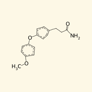 COc1ccc(Oc2ccc(CCC(N)=O)cc2)cc1